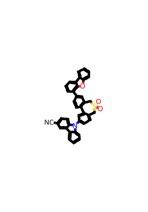 N#Cc1ccc2c(c1)c1ccccc1n2-c1ccc2c(c1)-c1ccc(-c3cccc4c3oc3ccccc34)cc1CS(=O)(=O)C2